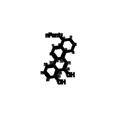 CCCCCC1CCCc2c1ccc1c2cc(O)c2c(O)cccc21